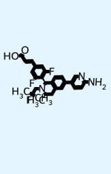 C[C@H]1Cc2cc(-c3ccc(N)nc3)ccc2[C@H](c2c(F)cc(/C=C/C(=O)O)cc2F)N1CC(C)(C)F